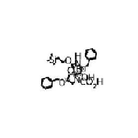 CC(C)(C)[C@@]1([C@@H](O)[C@H](Cc2ccccc2)NC(=O)OCC[Si](C)(C)C)C[C@@H](OCc2ccccc2)CN1C(=O)O